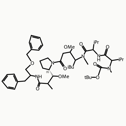 CCC(C)C(C(CC(=O)N1CCC[C@H]1C(OC)C(C)C(=O)NC(COCc1ccccc1)Cc1ccccc1)OC)N(C)C(=O)C(NC(=O)C(C(C)C)N(C)C(=O)OC(C)(C)C)C(C)C